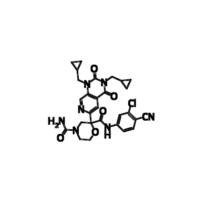 N#Cc1ccc(NC(=O)C2(c3cc4c(=O)n(CC5CC5)c(=O)n(CC5CC5)c4cn3)CN(C(N)=O)CCO2)cc1Cl